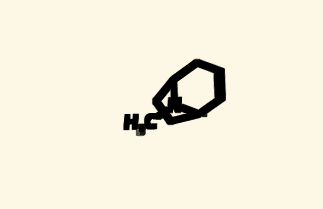 CN1[C]2C=CCC1CC2